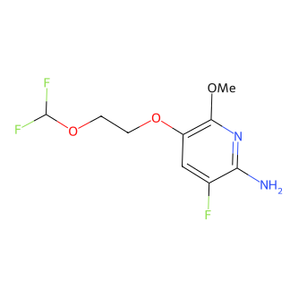 COc1nc(N)c(F)cc1OCCOC(F)F